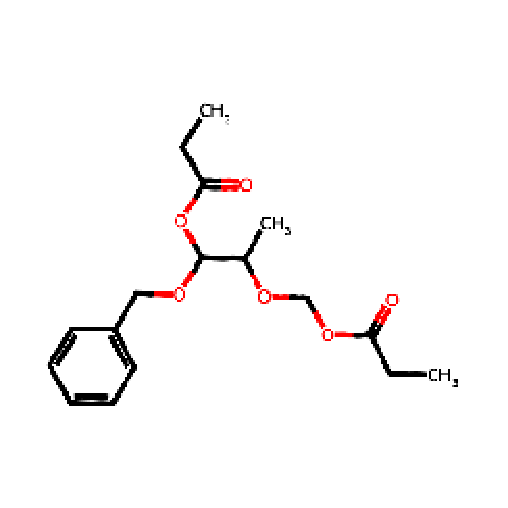 CCC(=O)OCOC(C)C(OCc1ccccc1)OC(=O)CC